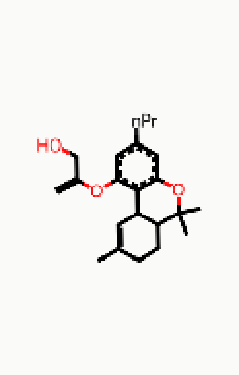 C=C(CO)Oc1cc(CCC)cc2c1C1C=C(C)CCC1C(C)(C)O2